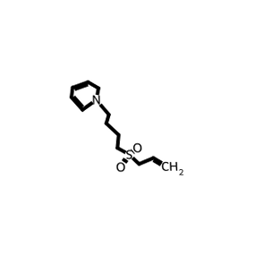 C=CCS(=O)(=O)CCCCN1C=CC=CC1